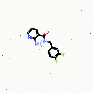 Nc1ncccc1C(=O)NCc1ccc(F)c(F)c1